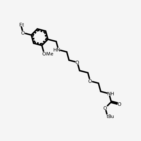 CCOc1ccc(CNCCOCCOCCNC(=O)OC(C)(C)C)c(OC)c1